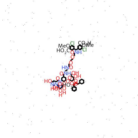 COc1c(Cl)cc(C(NC(=O)COCCOCC(=O)NCCNC(=O)C2CC(NC(=O)c3cc(O)nc(O)n3)C(OC3OC(C)C(O)C(O)C3O)C(OC3OC(CO)C(O)C(O[C@@H](CC4CCCCC4)C(=O)O)C3OC(=O)c3ccccc3)C2)c2cc(Cl)c(OC)c(C(=O)O)c2)cc1C(=O)O